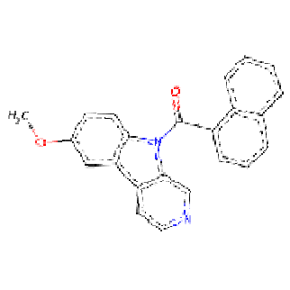 COc1ccc2c(c1)c1ccncc1n2C(=O)c1cccc2ccccc12